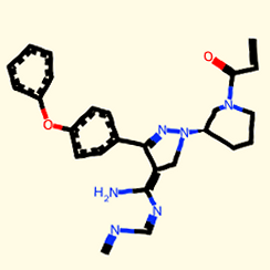 C=CC(=O)N1CCC[C@@H](N2C/C(=C(N)\N=C/N=C)C(c3ccc(Oc4ccccc4)cc3)=N2)C1